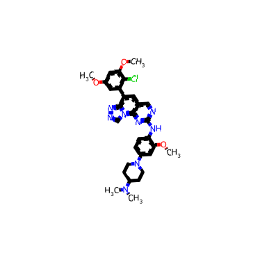 COc1cc(OC)c(Cl)c(-c2cc3cnc(Nc4ccc(N5CCC(N(C)C)CC5)cc4OC)nc3n3cnnc23)c1